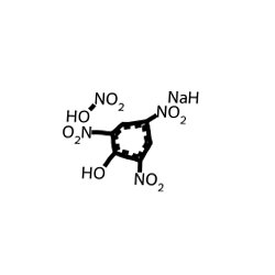 O=[N+]([O-])O.O=[N+]([O-])c1cc([N+](=O)[O-])c(O)c([N+](=O)[O-])c1.[NaH]